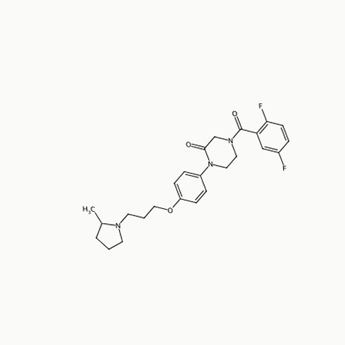 CC1CCCN1CCCOc1ccc(N2CCN(C(=O)c3cc(F)ccc3F)CC2=O)cc1